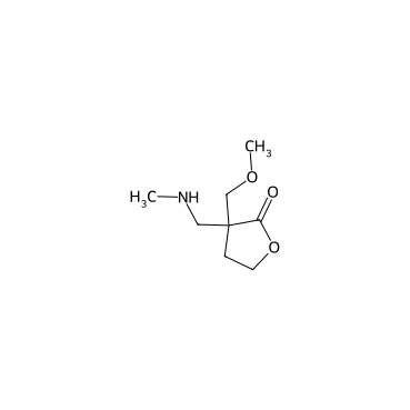 CNCC1(COC)CCOC1=O